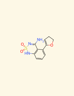 NC1=NS(=O)(=O)Nc2cccc(C3=CCCO3)c21